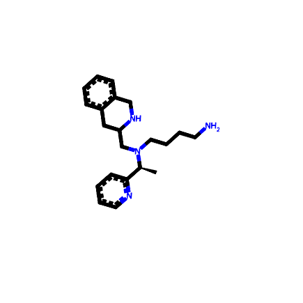 C[C@@H](c1ccccn1)N(CCCCN)CC1Cc2ccccc2CN1